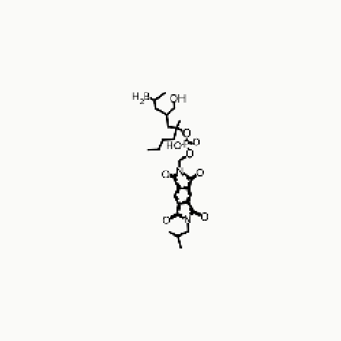 BC(C)CC(CO)CC(C)(CCCC)OP(=O)(O)OCn1c(=O)c2cc3c(=O)n(CC(C)C)c(=O)c3cc2c1=O